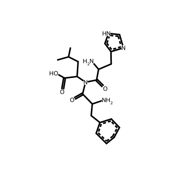 CC(C)CC(C(=O)O)N(C(=O)C(N)Cc1ccccc1)C(=O)C(N)Cc1c[nH]cn1